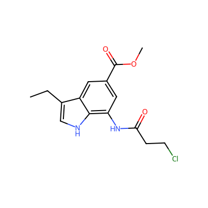 CCc1c[nH]c2c(NC(=O)CCCl)cc(C(=O)OC)cc12